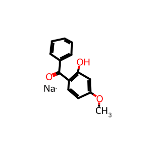 COc1ccc(C(=O)c2ccccc2)c(O)c1.[Na]